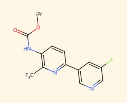 CC(C)OC(=O)Nc1ccc(-c2cncc(F)c2)nc1C(F)(F)F